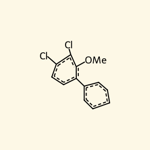 COc1c(-c2ccccc2)ccc(Cl)c1Cl